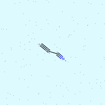 [C]#CC#N